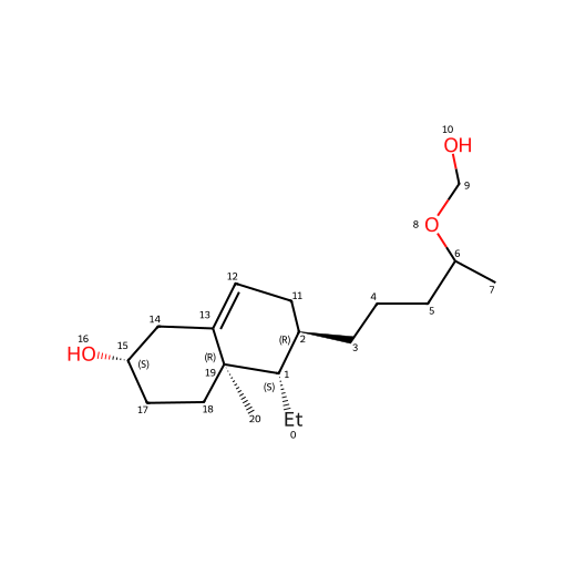 CC[C@H]1[C@H](CCCC(C)OCO)CC=C2C[C@@H](O)CC[C@@]21C